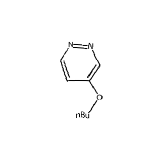 CCCCOc1ccnnc1